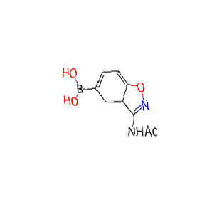 CC(=O)NC1=NOC2=CC=C(B(O)O)CC21